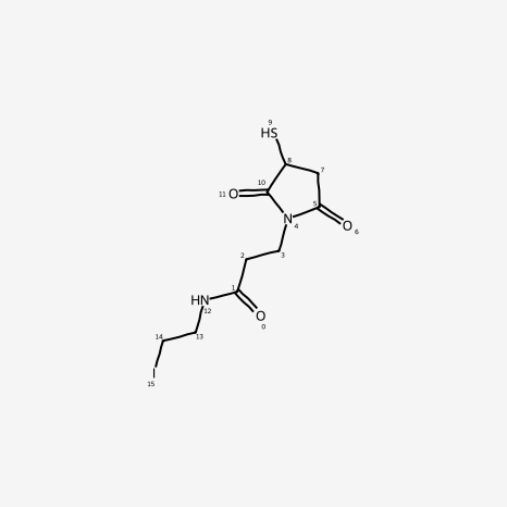 O=C(CCN1C(=O)CC(S)C1=O)NCCI